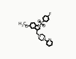 COc1ccc2c(c1)c(CN1CCN(c3ccccn3)CC1)cn2S(=O)(=O)c1ccc(F)cc1